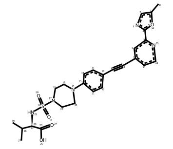 Cc1cnc(-c2cc(C#Cc3ccc(N4CCN(S(=O)(=O)N[C@@H](C(=O)O)C(C)C)CC4)cc3)ccn2)o1